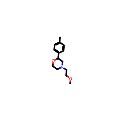 COCCN1CCOC(c2ccc(C)cc2)C1